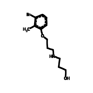 Cc1c(Br)cccc1OCCCNCCCO